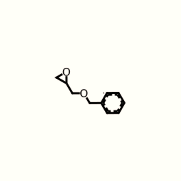 [c]1ccccc1COCC1CO1